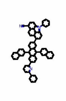 N#Cc1ccc2c3c1ccc1c(-c4ccc5c(-c6ccc7ccccc7c6)c6cc(-c7cccc(-c8ccccc8)n7)ccc6c(-c6ccc7ccccc7c6)c5c4)ccc(c13)n2-c1ccccc1